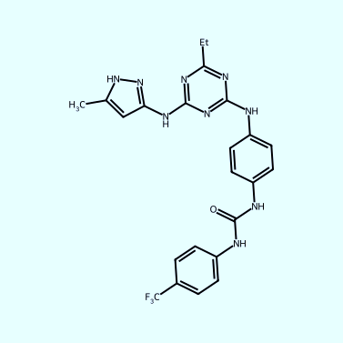 CCc1nc(Nc2ccc(NC(=O)Nc3ccc(C(F)(F)F)cc3)cc2)nc(Nc2cc(C)[nH]n2)n1